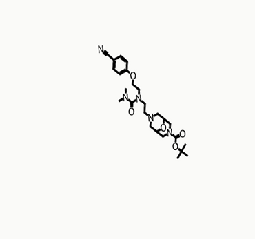 CN(C)C(=O)N(CCOc1ccc(C#N)cc1)CCN1CC2CN(C(=O)OC(C)(C)C)CC(C1)O2